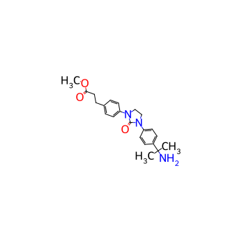 COC(=O)CCc1ccc(N2CCN(c3ccc(C(C)(C)N)cc3)C2=O)cc1